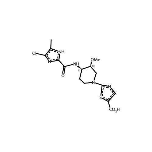 CO[C@H]1CN(c2ncc(C(=O)O)s2)CC[C@H]1NC(=O)c1nc(Cl)c(C)[nH]1